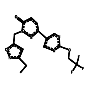 CCc1cc(Cn2nc(-c3cnc(OCC(F)(F)F)nc3)ccc2=O)on1